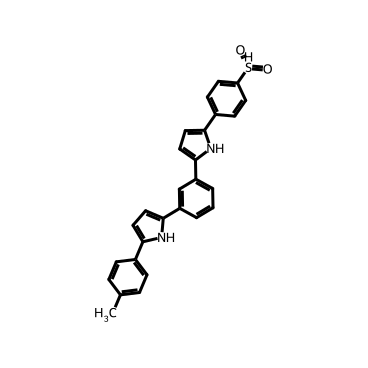 Cc1ccc(-c2ccc(-c3cccc(-c4ccc(-c5ccc([SH](=O)=O)cc5)[nH]4)c3)[nH]2)cc1